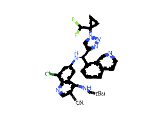 CC(C)(C)CNc1c(C#N)cnc2c(Cl)cc(N[C@H](c3cn(C4(C(F)F)CC4)nn3)c3cccc4ccncc34)cc12